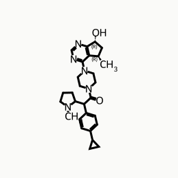 C[C@@H]1C[C@@H](O)c2ncnc(N3CCN(C(=O)C(c4ccc(C5CC5)cc4)C4CCCN4C)CC3)c21